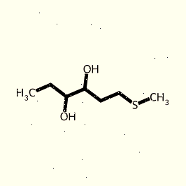 CCC(O)C(O)CCSC